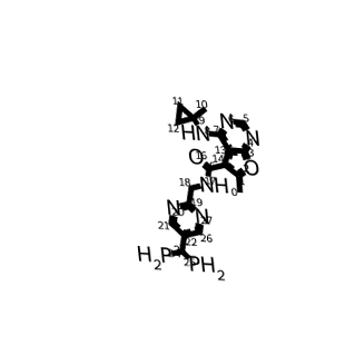 Cc1oc2ncnc(NC3(C)CC3)c2c1C(=O)NCc1ncc(C(P)P)cn1